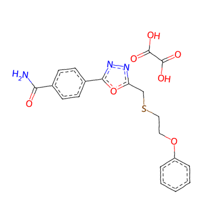 NC(=O)c1ccc(-c2nnc(CSCCOc3ccccc3)o2)cc1.O=C(O)C(=O)O